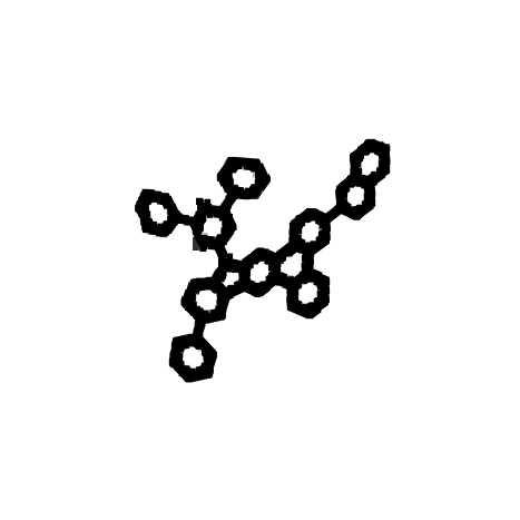 c1ccc(-c2ccc3c(c2)c2cc4c5ccccc5c5cc(-c6ccc7ccccc7c6)ccc5c4cc2n3-c2cc(-c3ccccc3)nc(-c3ccccc3)n2)cc1